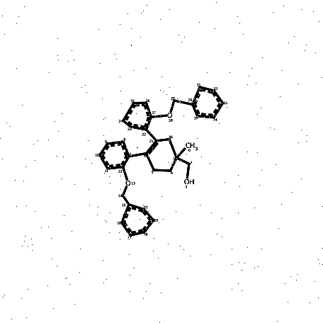 CC1(CO)CCC(c2ccccc2OCc2ccccc2)=C(c2ccccc2OCc2ccccc2)C1